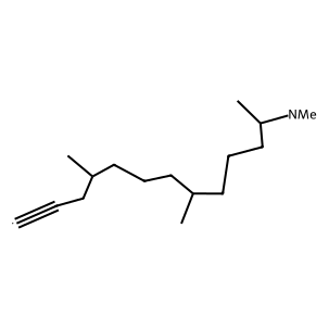 [C]#CCC(C)CCCC(C)CCCC(C)NC